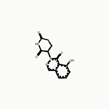 O=C1CCC(n2ncc3cccc(O)c3c2=O)C(=O)N1